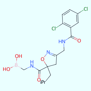 CC(C)CC1(C(=O)NCB(O)O)CC(CNC(=O)c2cc(Cl)ccc2Cl)=NO1